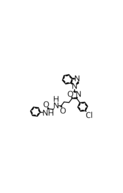 O=C(CCc1oc(-n2cnc3ccccc32)nc1-c1ccc(Cl)cc1)NCC(=O)Nc1ccccc1